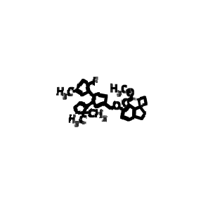 COC(=O)[C@@H]1CC[C@]12CCc1ccc(OCc3ccc(-c4cc(C)ccc4F)c(C4=CCCC4(C)C)c3)cc12